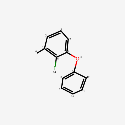 Cc1[c]ccc(Oc2ccccc2)c1F